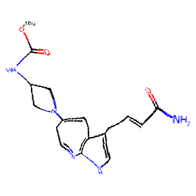 CC(C)(C)OC(=O)NC1CN(c2cnc3[nH]cc(/C=C/C(N)=O)c3c2)C1